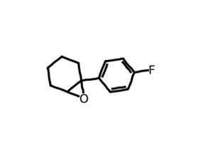 Fc1ccc(C23CCCCC2O3)cc1